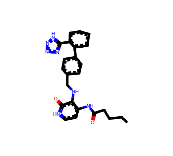 CCCCC(=O)Nc1cc[nH]c(=O)c1NCc1ccc(-c2ccccc2-c2nnn[nH]2)cc1